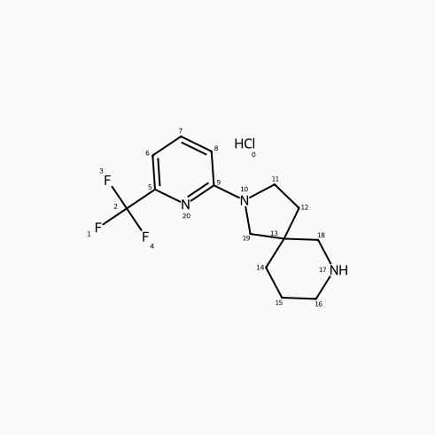 Cl.FC(F)(F)c1cccc(N2CCC3(CCCNC3)C2)n1